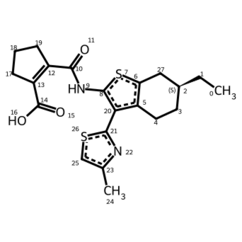 CC[C@H]1CCc2c(sc(NC(=O)C3=C(C(=O)O)CCC3)c2-c2nc(C)cs2)C1